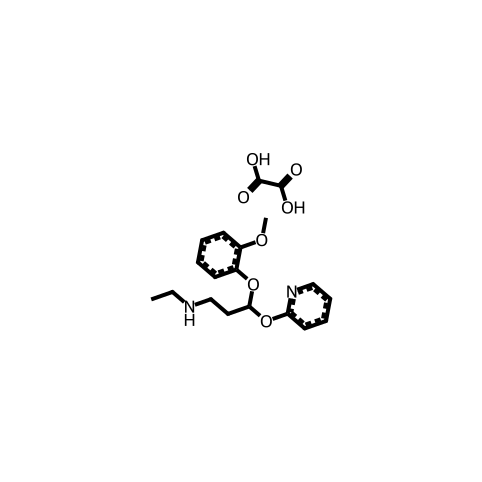 CCNCCC(Oc1ccccn1)Oc1ccccc1OC.O=C(O)C(=O)O